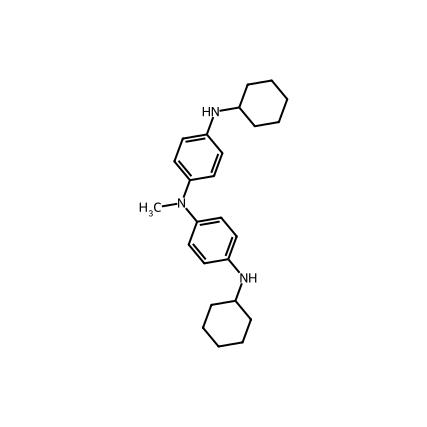 CN(c1ccc(NC2CCCCC2)cc1)c1ccc(NC2CCCCC2)cc1